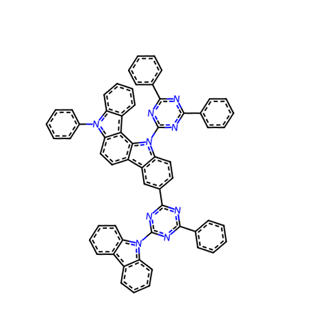 c1ccc(-c2nc(-c3ccc4c(c3)c3ccc5c(c6ccccc6n5-c5ccccc5)c3n4-c3nc(-c4ccccc4)nc(-c4ccccc4)n3)nc(-n3c4ccccc4c4ccccc43)n2)cc1